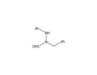 CC(C)CN([C]=O)NC(C)C